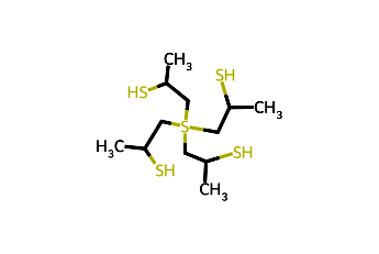 CC(S)CS(CC(C)S)(CC(C)S)CC(C)S